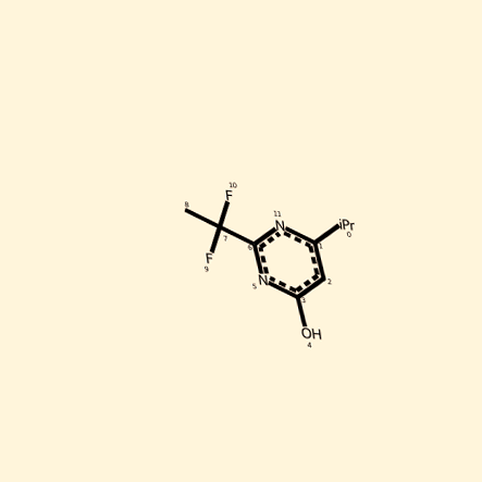 CC(C)c1cc(O)nc(C(C)(F)F)n1